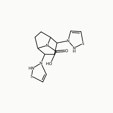 O=C(O)N1C2CCC1C(N1C=CSN1)CC2N1C=CSN1